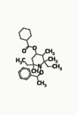 CCC1(C)CC(OC(=O)C2CCCCC2)C(C)C(C)(CC)N1OC(C)c1ccccc1